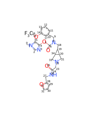 Cn1cnc(OC(=O)N(Cc2cccc(OC(F)(F)F)c2)CC2C3CN(CC(=O)NCc4ccco4)CC32)c1